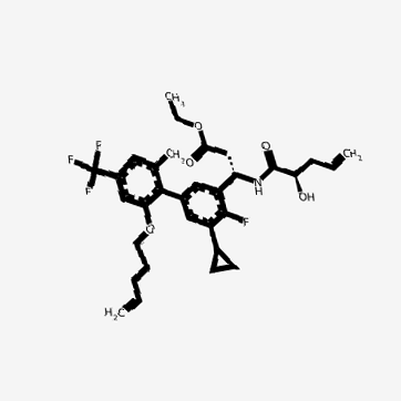 C=CCCCOc1cc(C(F)(F)F)cc(C)c1-c1cc(C2CC2)c(F)c([C@H](CC(=O)OCC)NC(=O)[C@H](O)CC=C)c1